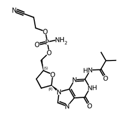 CC(C)C(=O)Nc1nc2c(ncn2[C@H]2CC[C@@H](COP(N)(=O)OCCC#N)O2)c(=O)[nH]1